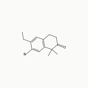 CCc1cc2c(cc1Br)C(C)(C)C(=O)CC2